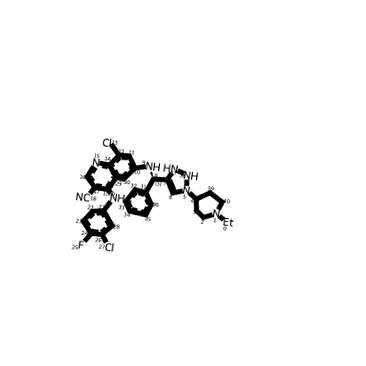 CCN1CCC(N2C=C([C@@H](Nc3cc(Cl)c4ncc(C#N)c(Nc5ccc(F)c(Cl)c5)c4c3)c3ccccc3)NN2)CC1